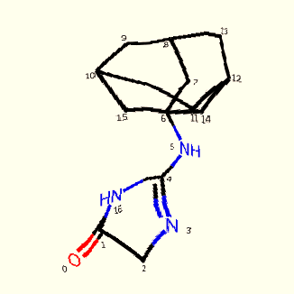 O=C1CN=C(NC23CC4CC(CC(C4)C2)C3)N1